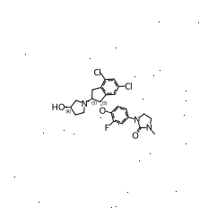 CN1CCN(c2ccc(O[C@H]3c4cc(Cl)cc(Cl)c4C[C@@H]3N3CC[C@@H](O)C3)c(F)c2)C1=O